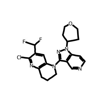 FC(F)c1cc2c(nc1Cl)CCCN2c1nn(C2CCOCC2)c2ccncc12